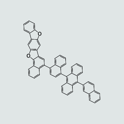 c1ccc2cc(-c3c4ccccc4c(-c4ccc(-c5cc6c7cc8oc9ccccc9c8cc7oc6c6ccccc56)c5ccccc45)c4ccccc34)ccc2c1